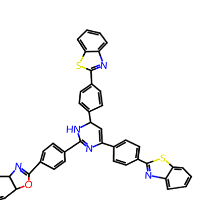 C1=CC2N=C(c3ccc(C4=NC(c5ccc(-c6nc7ccccc7s6)cc5)=CC(c5ccc(-c6nc7ccccc7s6)cc5)N4)cc3)OC2C=C1